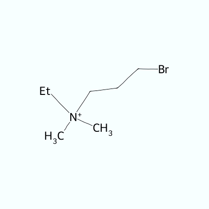 CC[N+](C)(C)CCCBr